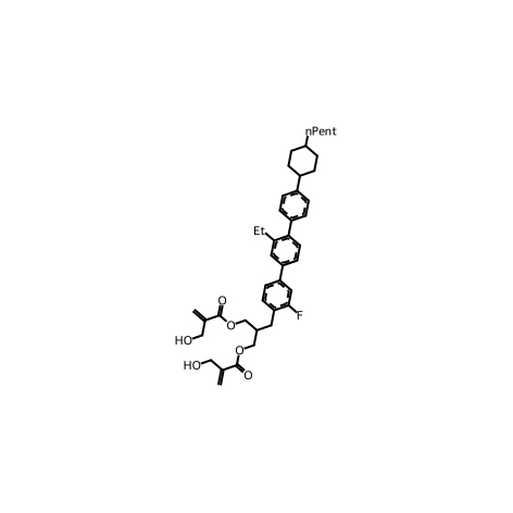 C=C(CO)C(=O)OCC(COC(=O)C(=C)CO)Cc1ccc(-c2ccc(-c3ccc(C4CCC(CCCCC)CC4)cc3)c(CC)c2)cc1F